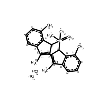 CC1=C(C)[CH]([Ti]([CH3])([CH3])(=[SiH2])[CH]2C(C)=C(C)c3cccc(C)c32)c2c(C)cccc21.Cl.Cl